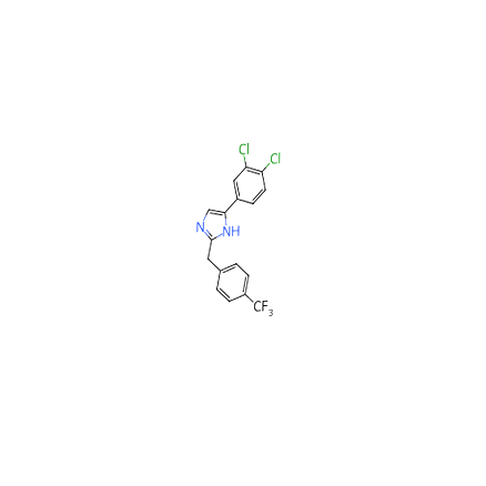 FC(F)(F)c1ccc(Cc2ncc(-c3ccc(Cl)c(Cl)c3)[nH]2)cc1